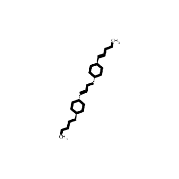 CCC/C=C/[C@H]1CC[C@H](CC/C=C/[C@H]2CC[C@H](CCCCC)CC2)CC1